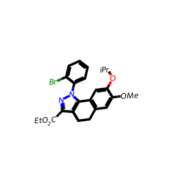 CCOC(=O)c1nn(-c2ccccc2Br)c2c1CCc1cc(OC)c(OC(C)C)cc1-2